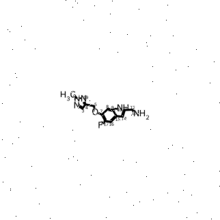 Cn1ncc(COc2cc3[nH]c(CN)cc3cc2F)n1